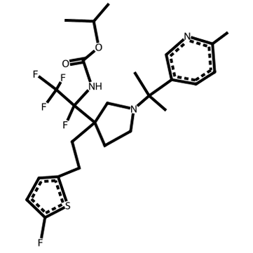 Cc1ccc(C(C)(C)N2CCC(CCc3ccc(F)s3)(C(F)(NC(=O)OC(C)C)C(F)(F)F)C2)cn1